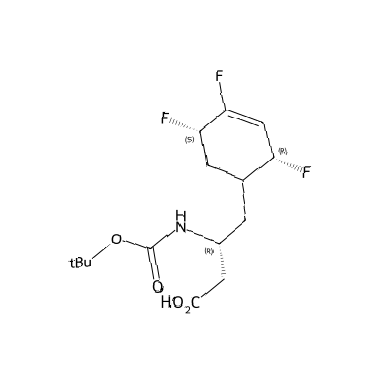 CC(C)(C)OC(=O)N[C@@H](CC(=O)O)CC1C[C@H](F)C(F)=C[C@@H]1F